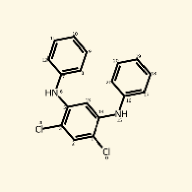 Clc1cc(Cl)c(Nc2ccccc2)cc1Nc1ccccc1